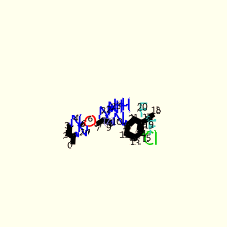 Cc1ccnc(OC/C(=C/Nc2ccc(Cl)c(C(C)(F)F)c2)N=N)n1